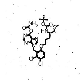 CSCC(CCCOc1ccc(Cl)c(Cl)c1Cn1cnc2c(OC(N)=O)ncnc21)NC(=O)OC(C)(C)C